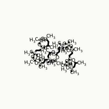 CC1C[SiH](C)O[SiH](C)O[SiH](CC[Si](C)(C)O[Si](C)(C)O[Si](C)(C)CC[SiH]2OC(C)C[Si](C)(CC[Si](C)(C)O[Si](C)(C)O[Si](C)(C)CC[SiH]3OC(C)C[SiH](C)O[SiH](C)O3)O[SiH](C)O2)O1